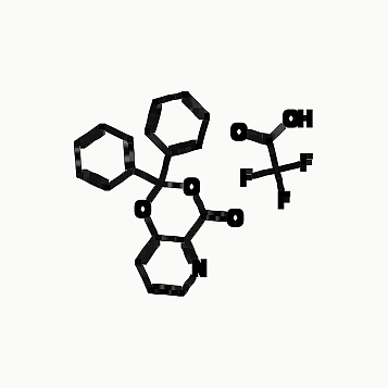 O=C(O)C(F)(F)F.O=C1OC(c2ccccc2)(c2ccccc2)Oc2cccnc21